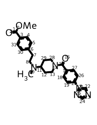 COC(=O)c1ccc(CCN(C)C2CCN(C(=O)c3ccc(-n4cncn4)cc3)CC2)cc1